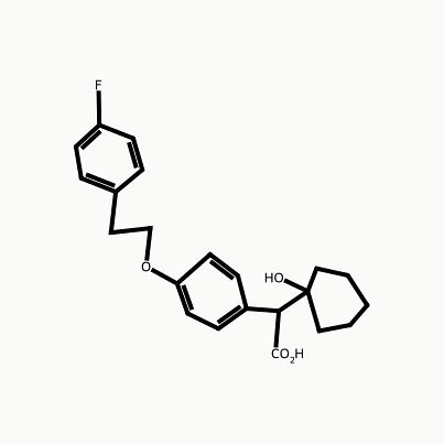 O=C(O)C(c1ccc(OCCc2ccc(F)cc2)cc1)C1(O)CCCCC1